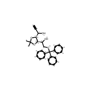 C#CC(O)[C@@H]1OC(C)(C)O[C@@H]1C(O)COC(c1ccccc1)(c1ccccc1)c1ccccc1